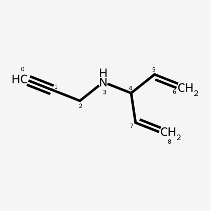 C#CCNC(C=C)C=C